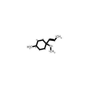 CC=CC1(OC)CCC(C)CC1